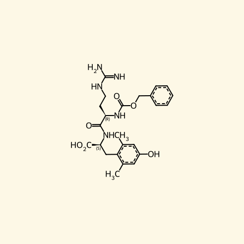 Cc1cc(O)cc(C)c1C[C@H](NC(=O)[C@@H](CCNC(=N)N)NC(=O)OCc1ccccc1)C(=O)O